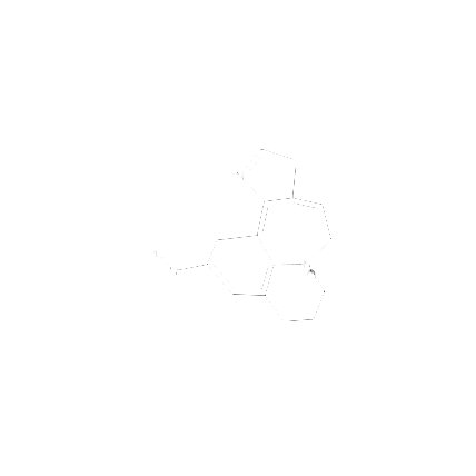 CC(C)NC1=CC2=C3C(=c4ncsc4=CC[N+]3([O-])CCS2)C1